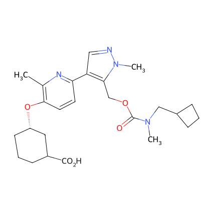 Cc1nc(-c2cnn(C)c2COC(=O)N(C)CC2CCC2)ccc1O[C@H]1CCCC(C(=O)O)C1